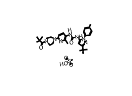 CS(=O)(=O)O.Cc1ccc(-n2nc(C(C)(C)C)cc2NC(=O)Nc2ccc(N3CCN(C(=O)C(C)(C)C)CC3)nc2C)cc1